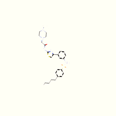 CCCCCc1ccc(S(=O)(=O)Nc2cccc(-c3csc(NC(=O)CN4CCN(C)CC4)n3)c2)cc1